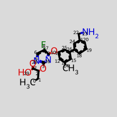 CCC(Oc1ncc(F)c(Oc2cc(C)cc(-c3cccc(CN)c3)c2)n1)C(=O)O